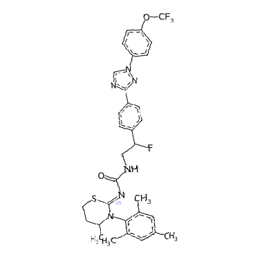 Cc1cc(C)c(N2/C(=N/C(=O)NCC(F)c3ccc(-c4ncn(-c5ccc(OC(F)(F)F)cc5)n4)cc3)SCCC2C)c(C)c1